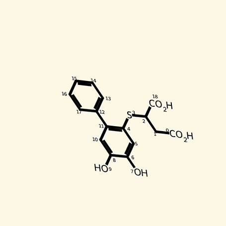 O=C(O)CC(Sc1cc(O)c(O)cc1-c1ccccc1)C(=O)O